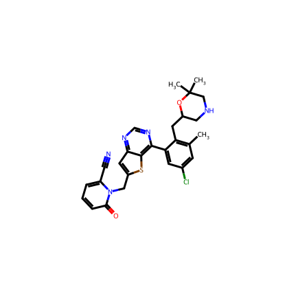 Cc1cc(Cl)cc(-c2ncnc3cc(Cn4c(C#N)cccc4=O)sc23)c1CC1CNCC(C)(C)O1